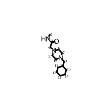 CNC(=O)CN1CCN(CC2CCCCC2)CC1